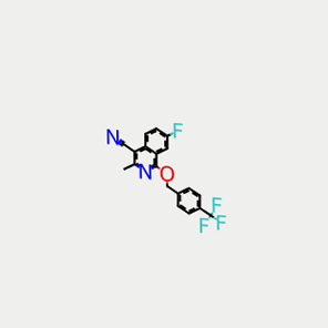 Cc1nc(OCc2ccc(C(F)(F)F)cc2)c2cc(F)ccc2c1C#N